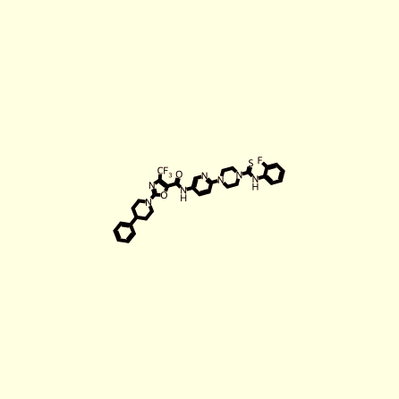 O=C(Nc1ccc(N2CCN(C(=S)Nc3ccccc3F)CC2)nc1)c1oc(N2CCC(c3ccccc3)CC2)nc1C(F)(F)F